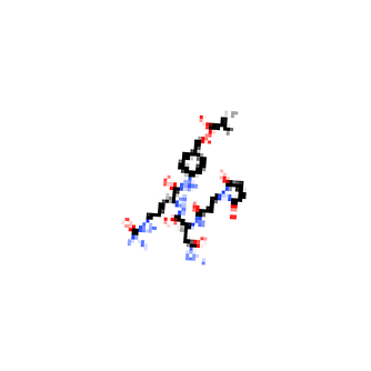 CC(C)C(C)C(=O)OCc1ccc(NC(=O)[C@H](CCCNC(N)=O)NC(=O)[C@H](CC(N)=O)NC(=O)CCN2C(=O)C=CC2=O)cc1